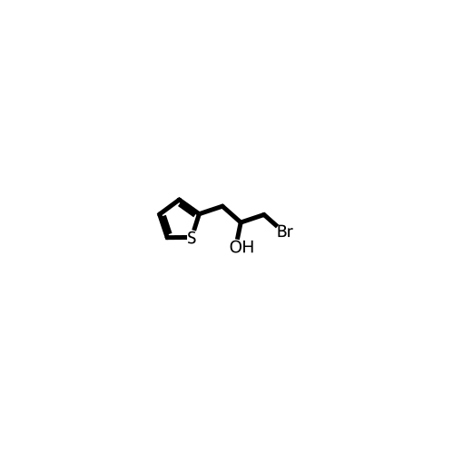 OC(CBr)Cc1cccs1